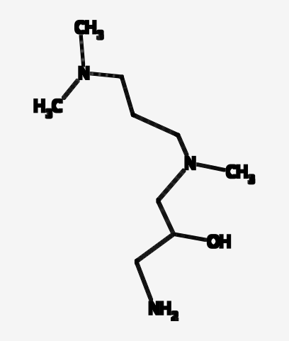 CN(C)CCCN(C)CC(O)CN